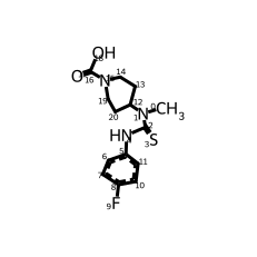 CN(C(=S)Nc1ccc(F)cc1)C1CCN(C(=O)O)CC1